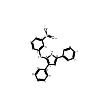 O=[N+]([O-])c1cccc(Sc2sc(-c3ccccc3)cc2-c2ccccc2)c1